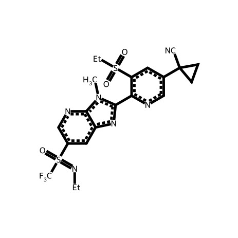 CCN=S(=O)(c1cnc2c(c1)nc(-c1ncc(C3(C#N)CC3)cc1S(=O)(=O)CC)n2C)C(F)(F)F